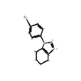 Brc1ccc(-n2nnc3c2CCCC3)cc1